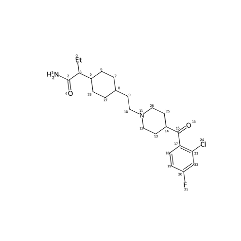 CCC(C(N)=O)C1CCC(CCN2CCC(C(=O)c3ccc(F)cc3Cl)CC2)CC1